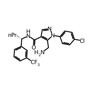 CCC[C@H](NC(=O)c1cnn(-c2ccc(Cl)cc2)c1CN)c1cccc(C(F)(F)F)c1